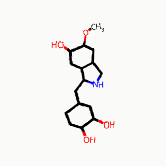 COC1CC2CNC(CC3CCC(O)C(O)C3)C2CC1O